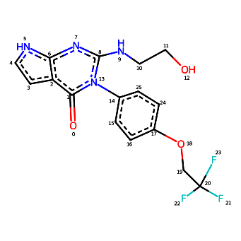 O=c1c2cc[nH]c2nc(NCCO)n1-c1ccc(OCC(F)(F)F)cc1